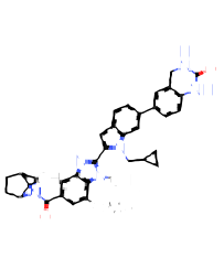 COc1cc(C(=O)N2CC3CCC2[C@@H]3C)cc2nc(-c3cc4ccc(-c5ccc6c(c5)CNC(=O)N6)cc4n3CC3CC3)n(C)c12